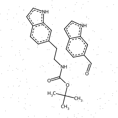 CC(C)(C)OC(=O)NCCc1ccc2cc[nH]c2c1.O=Cc1ccc2cc[nH]c2c1